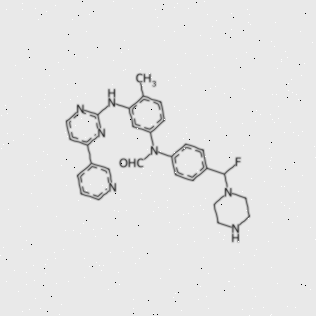 Cc1ccc(N(C=O)c2ccc(C(F)N3CCNCC3)cc2)cc1Nc1nccc(-c2cccnc2)n1